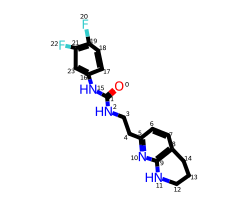 O=C(NCCc1ccc2c(n1)NCCC2)Nc1ccc(F)c(F)c1